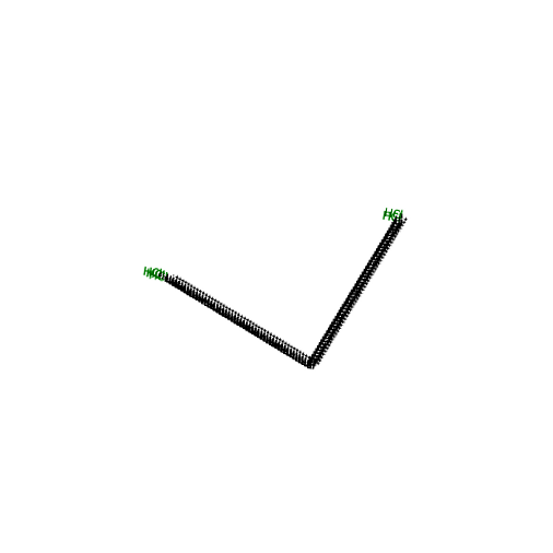 Cl.Cl.Cl.Cl.Cl.[Li+].[Li+].[Li+].[Li+].[Li+].[Li+].[Li+].[Li+].[Li+].[Li+].[Li+].[Li+].[Li+].[Li+].[Li+].[Li+].[Li+].[Li+].[Li+].[Li+].[Li+].[Li+].[Li+].[Li+].[Li+].[Li+].[Li+].[Li+].[Li+].[Li+].[Li+].[Li+].[Li+].[Li+].[Li+].[Li+].[Li+].[Li+].[Li+].[Li+].[Li+].[Li+].[Li+].[Li+].[Li+].[Li+].[Li+].[Li+].[Li+].[Li+].[Li+].[Li+].[Li+].[Li+].[Li+].[Li+].[Li+].[Li+].[Li+].[Li+].[Li+].[Li+].[Li+].[Li+].[Li+].[Li+].[Li+].[Li+].[Li+].[Li+].[Li+].[Li+].[Li+].[Li+].[Li+].[Li+].[Li+].[Li+].[Li+].[Li+].[Li+].[Li+].[Li+].[Li+].[Li+].[Li+].[Li+].[Li+].[Li+].[Li+].[Li+].[Li+].[Li+].[Li+].[Li+].[Li+].[Li+].[Li+]